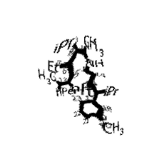 CCCCCC(C)C(CCC)CC(CC)C(C(C)C)C(C)NCCCC(C1=CC(C)CCC1)C(C)C